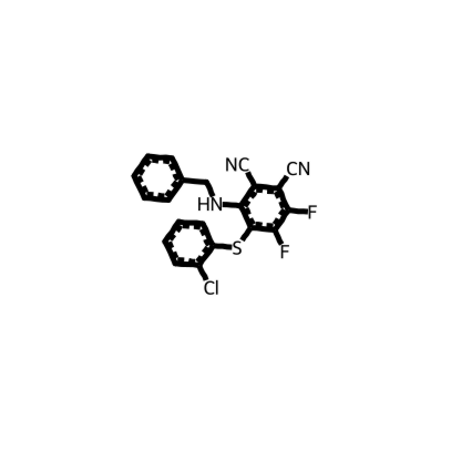 N#Cc1c(F)c(F)c(Sc2ccccc2Cl)c(NCc2ccccc2)c1C#N